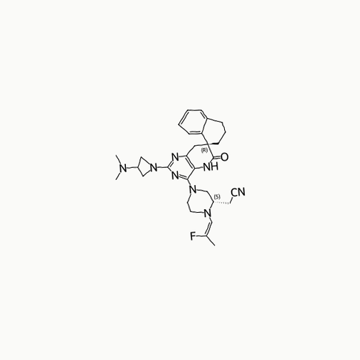 CC(F)=CN1CCN(c2nc(N3CC(N(C)C)C3)nc3c2NC(=O)[C@]2(CCCc4ccccc42)C3)C[C@@H]1CC#N